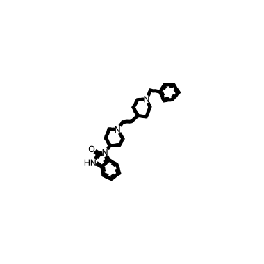 O=c1[nH]c2ccccc2n1C1CCN(CCC2CCN(Cc3ccccc3)CC2)CC1